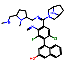 C=Nc1c(/C(=N\CC2CCC(CNC)N2C)N2CC3CCC(C2)N3)cc(Cl)c(-c2cc(O)cc3ccccc23)c1F